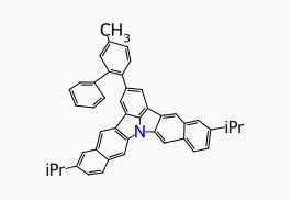 Cc1ccc(-c2cc3c4cc5cc(C(C)C)ccc5cc4n4c5cc6ccc(C(C)C)cc6cc5c(c2)c34)c(-c2ccccc2)c1